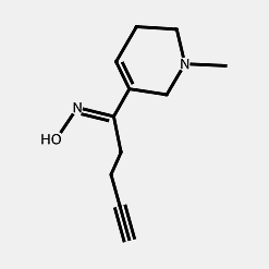 C#CCC/C(=N\O)C1=CCCN(C)C1